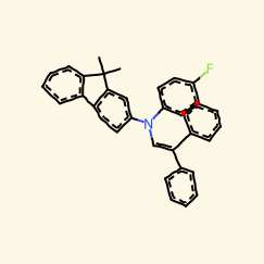 CC1(C)c2ccccc2-c2ccc(N(C=C(c3ccccc3)c3ccccc3)c3ccc(F)cc3)cc21